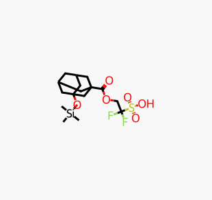 C[Si](C)(C)OC12CC3CC(C1)CC(C(=O)OCC(F)(F)S(=O)(=O)O)(C3)C2